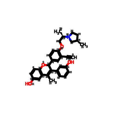 C#Cc1cc(C2Oc3ccc(O)cc3C(C)=C2c2cccc(O)c2)ccc1OC[C@H](C)N1CC[C@@H](C)C1